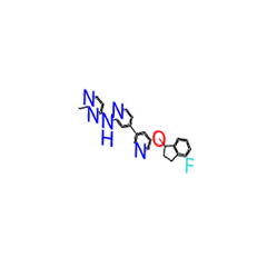 Cc1nccc(Nc2cc(-c3cncc(OC4CCc5c(F)cccc54)c3)ccn2)n1